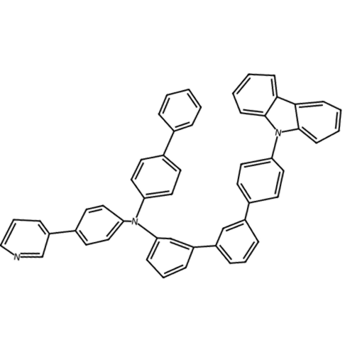 c1ccc(-c2ccc(N(c3ccc(-c4cccnc4)cc3)c3cccc(-c4cccc(-c5ccc(-n6c7ccccc7c7ccccc76)cc5)c4)c3)cc2)cc1